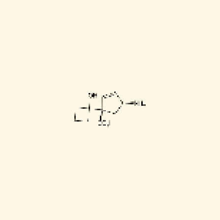 N[C@@H]1C=C[C@@](C(=O)O)(C2(O)CCC2)C1